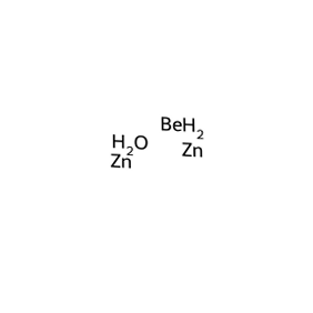 O.[BeH2].[Zn].[Zn]